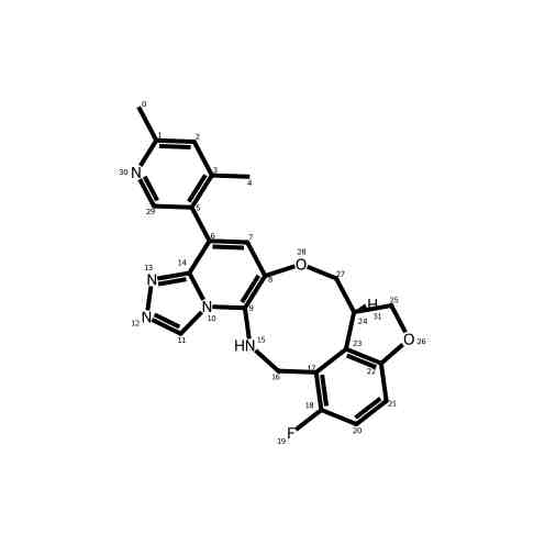 Cc1cc(C)c(-c2cc3c(n4cnnc24)NCc2c(F)ccc4c2[C@@H](CO4)CO3)cn1